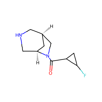 O=C(C1CC1F)N1C[C@@H]2CNC[C@H]1C2